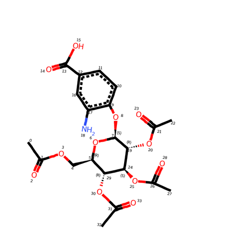 CC(=O)OC[C@H]1O[C@@H](Oc2ccc(C(=O)O)cc2N)[C@H](OC(C)=O)[C@@H](OC(C)=O)[C@@H]1OC(C)=O